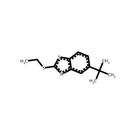 CCSc1nc2cc(C(C)(C)C)ccc2s1